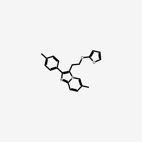 Cc1ccc(-c2nc3ccc(C)cn3c2CCOc2ccco2)cc1